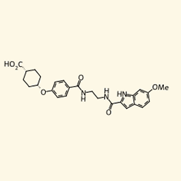 COc1ccc2cc(C(=O)NCCNC(=O)c3ccc(O[C@H]4CC[C@@H](C(=O)O)CC4)cc3)[nH]c2c1